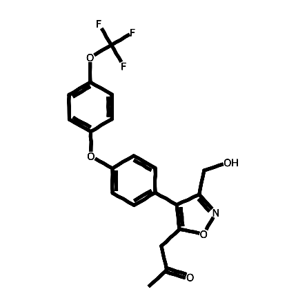 CC(=O)Cc1onc(CO)c1-c1ccc(Oc2ccc(OC(F)(F)F)cc2)cc1